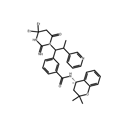 CCC1(CC)CC(=O)N(C(c2cccc(C(=O)N[C@H]3CC(C)(C)Oc4ccccc43)c2)C(C)c2cccnc2)C(=N)N1